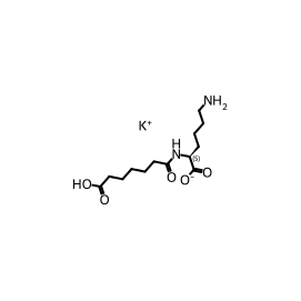 NCCCC[C@H](NC(=O)CCCCCC(=O)O)C(=O)[O-].[K+]